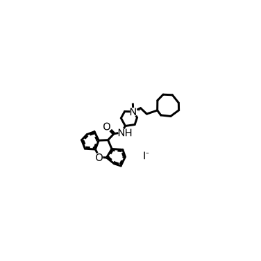 C[N+]1(CCC2CCCCCCC2)CCC(NC(=O)C2c3ccccc3Oc3ccccc32)CC1.[I-]